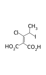 CC(I)C(Cl)=C(C(=O)O)C(=O)O